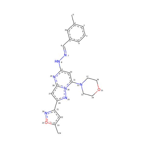 Cc1cccc(C=NNc2cc(N3CCOCC3)n3nc(-c4cc(C)on4)cc3n2)c1